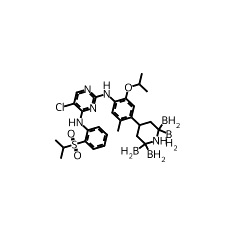 BC1(B)CC(c2cc(OC(C)C)c(Nc3ncc(Cl)c(Nc4ccccc4S(=O)(=O)C(C)C)n3)cc2C)CC(B)(B)N1